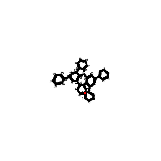 c1ccc(-c2cc(-c3ccccc3)cc(-n3c4ccccc4c4cc(-c5ccccc5)cc(-c5ccccc5)c43)c2)cc1